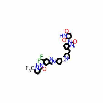 Cn1c(=O)n(C2CCC(=O)NC2=O)c2cccc(CC3CCN(C[C@H]4CC[C@H](n5cc6cc(NC(=O)c7cccc(C(F)(F)F)n7)c(C(F)F)cc6n5)CC4)CC3)c21